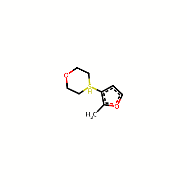 Cc1occc1[SH]1CCOCC1